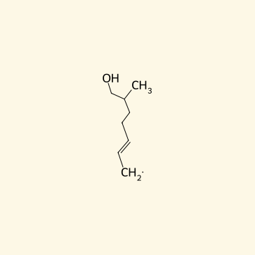 [CH2]/C=C/CCC(C)CO